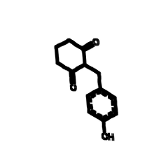 O=C1CCCC(=O)C1Cc1ccc(O)cc1